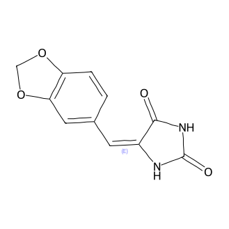 O=C1NC(=O)/C(=C\c2ccc3c(c2)OCO3)N1